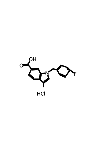 Cc1cn(Cc2ccc(F)cc2)c2cc(C(=O)O)ccc12.Cl